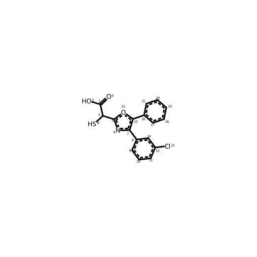 O=C(O)C(S)c1nc(-c2cccc(Cl)c2)c(-c2ccccc2)o1